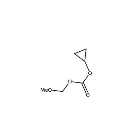 COCOC(=O)OC1CC1